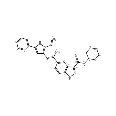 C=Nc1[nH]c(-c2ccccc2)cc1/C=C(\C)c1ccc2[nH]nc(C(=O)NC3CCNCC3)c2c1